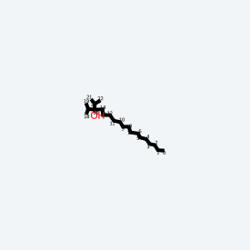 CCCCCCCCCCCCCCCC(O)(C(C)C)C(C)C